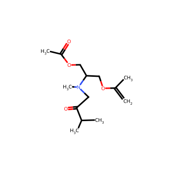 C=C(C)OCC(COC(C)=O)N(C)CC(=O)C(C)C